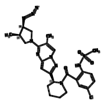 Cc1cn2nc([C@@H]3CCCCN3C(=O)c3cc(Cl)ccc3NS(C)(=O)=O)cc2nc1N1C[C@@H](C)[C@@H](N=[N+]=[N-])C1